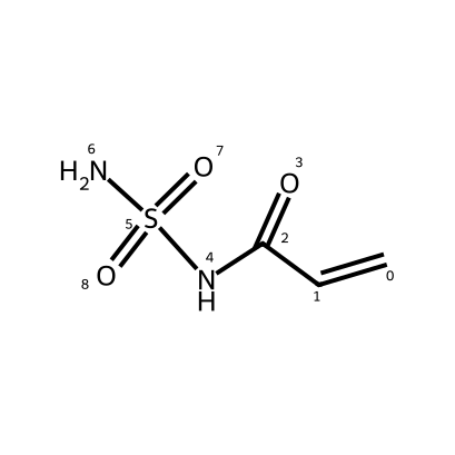 C=CC(=O)NS(N)(=O)=O